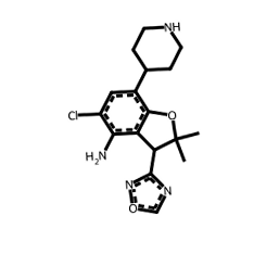 CC1(C)Oc2c(C3CCNCC3)cc(Cl)c(N)c2C1c1ncon1